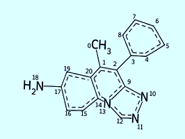 Cc1c(-c2ccccc2)c2nncn2c2ccc(N)cc12